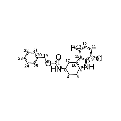 O=C(N[C@@H]1CCc2[nH]c3c(Cl)ccc(F)c3c2C1)OCc1ccccc1